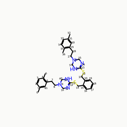 Cc1ccc(C)c(CCN2CN=C(SCc3ccccc3CSC3=NCN(CCc4cc(C)ccc4C)CN3)NC2)c1